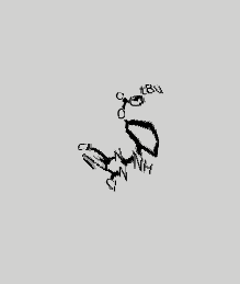 CC(C)(C)OC(=O)Oc1cccc(Nc2nc(Cl)nc(Cl)n2)c1